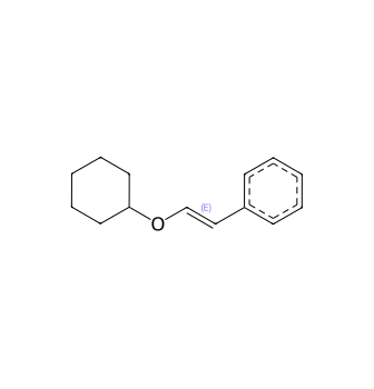 C(=C\c1ccccc1)/OC1CCCCC1